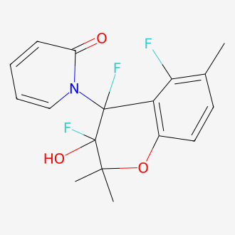 Cc1ccc2c(c1F)C(F)(n1ccccc1=O)C(O)(F)C(C)(C)O2